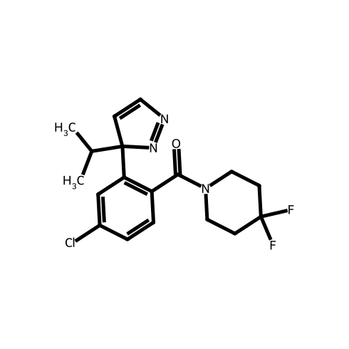 CC(C)C1(c2cc(Cl)ccc2C(=O)N2CCC(F)(F)CC2)C=CN=N1